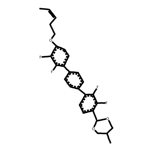 C/C=C\CCOc1ccc(-c2ccc(-c3ccc(C4OCC(C)CO4)c(F)c3F)cc2)c(F)c1F